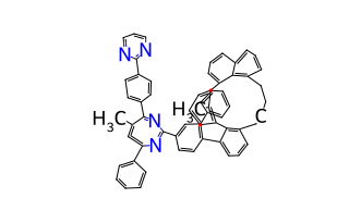 CC1=C=C(c2ccccc2)N=C(c2ccc(-c3cccc4c3-c3cccc(c3C)-c3cccc5cccc(c35)CCCC4)c(-c3ccccc3)c2)N=C1c1ccc(-c2ncccn2)cc1